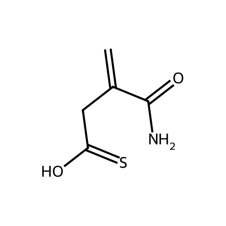 C=C(CC(O)=S)C(N)=O